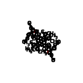 Cc1cc(C)cc(Oc2cc3c4c(cc(Oc5cc(C)cc(C)c5)c5c6c(Oc7cc(C)cc(C)c7)cc7c8c(cc(Oc9cc(C)cc(C)c9)c(c2c45)c86)C(=O)N(C(C(=O)N(c2cccc(OCC4CO4)c2)c2cccc(OCC4CO4)c2)C2CCCCC2)C7=O)C(=O)N(C(C(=O)N(c2cccc(OCC4CO4)c2)c2cccc(OCC4CO4)c2)C2CCCCC2)C3=O)c1